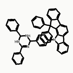 c1ccc(C2=NC(c3ccc(-n4c5ccccc5c5ccc6c(c54)C(c4ccccc4)(c4ccccc4)c4ccccc4-6)cc3)NC(c3ccccc3)N2)cc1